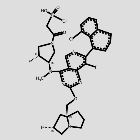 CN(c1nc(OC[C@@]23CCCN2C[C@H](F)C3)nc2c(F)c(-c3cccc4cccc(Cl)c34)ncc12)[C@@H]1CN(C(=O)CP(=O)(O)O)C[C@H]1F